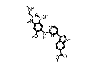 COC(=O)c1ccc2c(-c3ccnc(Nc4cc([N+](=O)[O-])c(N(C)CCN(C)C)cc4OC)n3)cn(C)c2c1